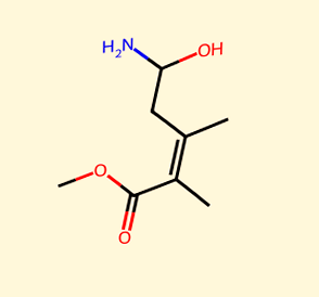 COC(=O)C(C)=C(C)CC(N)O